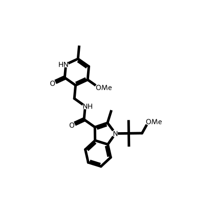 COCC(C)(C)n1c(C)c(C(=O)NCc2c(OC)cc(C)[nH]c2=O)c2ccccc21